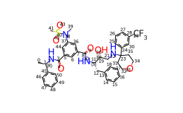 C[C@@H](NC(=O)c1cc(C(=O)N[C@@H](Cc2ccccc2)[C@H](O)CNC2(c3cccc(C(F)(F)F)c3)CCOCC2)cc(N(C)S(C)(=O)=O)c1)c1ccccc1